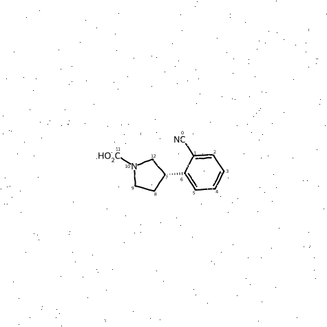 N#Cc1ccccc1[C@@H]1CCN(C(=O)O)C1